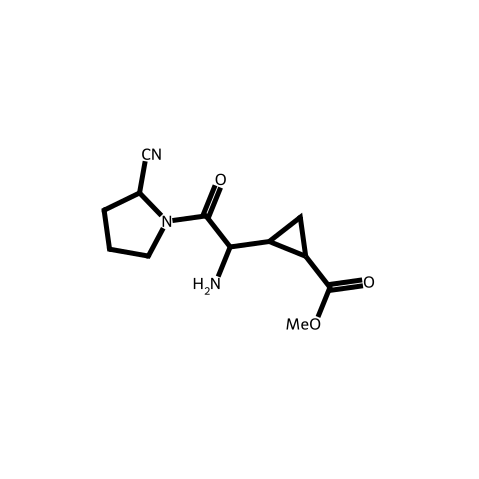 COC(=O)C1CC1C(N)C(=O)N1CCCC1C#N